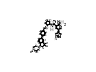 CN1CCN(C2CC(C)(C)c3cc(-c4ccc(CO[C@H]5CCC[C@@H]5NC(=O)c5cc(-c6cnn(C)c6)cnc5N)cc4)ccc32)CC1